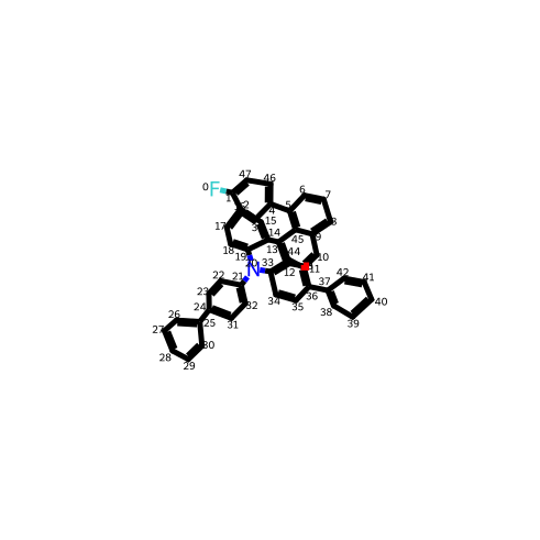 Fc1ccc(-c2cccc3cccc(-c4ccccc4N(c4ccc(-c5ccccc5)cc4)c4ccc(-c5ccccc5)cc4)c23)cc1